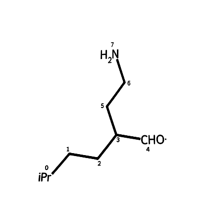 CC(C)CCC([C]=O)CCN